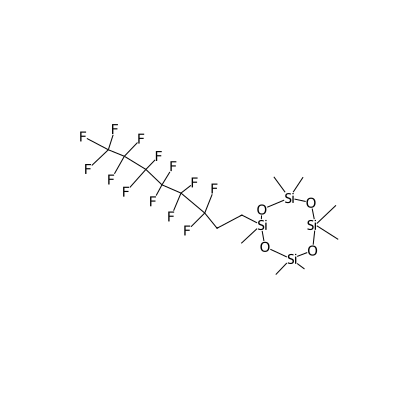 C[Si]1(C)O[Si](C)(C)O[Si](C)(CCC(F)(F)C(F)(F)C(F)(F)C(F)(F)C(F)(F)C(F)(F)F)O[Si](C)(C)O1